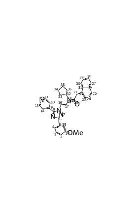 COc1cccc(-c2nc(-c3ccncc3)n(CCN(C(=O)Cc3cccc4ccccc34)C3CCCC3)n2)c1